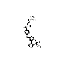 CC(C)OCCNC(=O)c1ccc(Nc2ncc3c(n2)-c2ccccc2N(C)C(=O)C3)cc1